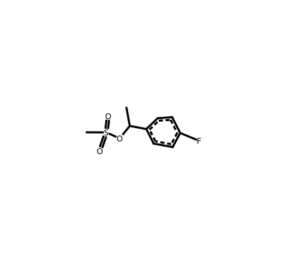 CC(OS(C)(=O)=O)c1ccc(F)cc1